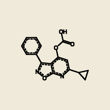 O=C(O)Oc1cc(C2CC2)nc2onc(-c3ccccc3)c12